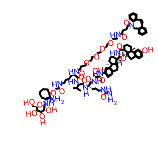 CC(C)[C@H](NC(=O)[C@@H](CCCCNC(=O)COC1CCCCC/C(N[C@@H]2O[C@H](CO)[C@H](O)[C@H](O)[C@H]2O)=C\1N)NC(=O)CCOCCOCCOCCOCCNC(=O)CCC(=O)N1Cc2ccccc2C#Cc2ccccc21)C(=O)N[C@@H](CCCNC(N)=O)C(=O)N[C@@H](CO)C(=O)Nc1ccc2c(c1)[C@@]1(C)CCC[C@](C)(C(=O)NC(=O)[C@@]3(C)CCC[C@]4(C)c5cc(O)ccc5CC[C@@H]34)[C@@H]1CC2